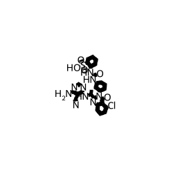 CC(Nc1ncnc(N)c1C#N)c1nc2cccc(Cl)c2c(=O)n1-c1cccc(NC(=O)Nc2ccccc2S(=O)(=O)O)c1